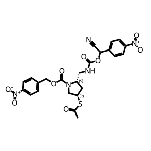 CC(=O)S[C@@H]1C[C@@H](CNC(=O)OC(C#N)c2ccc([N+](=O)[O-])cc2)N(C(=O)OCc2ccc([N+](=O)[O-])cc2)C1